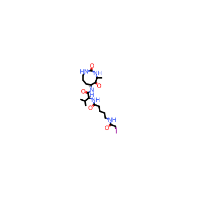 CC1NC(=O)NCCC[C@H](NC(=O)[C@@H](NC(=O)CCCCNC(=O)CI)C(C)C)C1=O